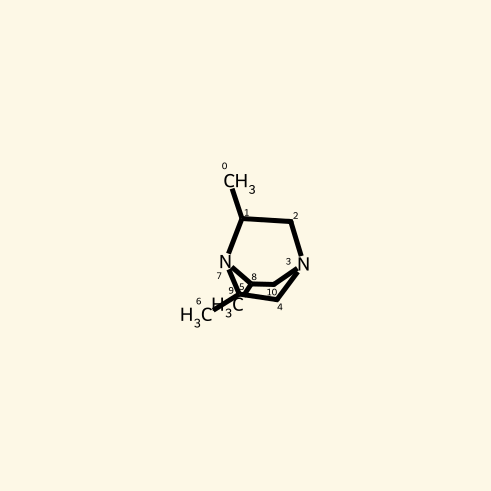 CC1CN2CC(C)N1C(C)C2